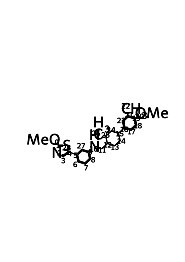 COc1ncc(-c2cccc(NCC3CCC(c4ccc(OC)c(C)c4)CC3C)c2)s1